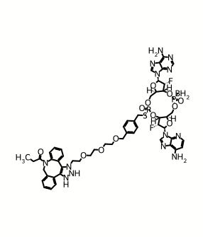 B[P@@]1(=O)OC[C@H]2O[C@@H](n3cnc4c(N)ccnc43)[C@H](F)[C@@H]2O[P@](=O)(SCc2ccc(COCCOCCOCCN3NNC4=C3c3ccccc3N(C(=O)CC)Cc3ccccc34)cc2)OC[C@H]2O[C@@H](n3cnc4c(N)ncnc43)[C@H](F)[C@@H]2O1